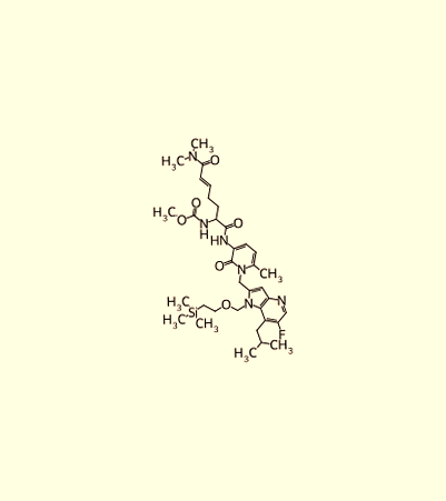 COC(=O)NC(CC/C=C/C(=O)N(C)C)C(=O)Nc1ccc(C)n(Cc2cc3ncc(F)c(CC(C)C)c3n2COCC[Si](C)(C)C)c1=O